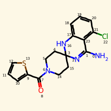 NC1=NC2(CCN(C(=O)c3cccs3)CC2)Nc2cccc(Cl)c21